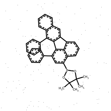 CC1(C)OB(c2cc(-c3ccccc3)c3c4c(cccc24)-c2cc4ccccc4c(-c4ccccc4)c2-3)OC1(C)C